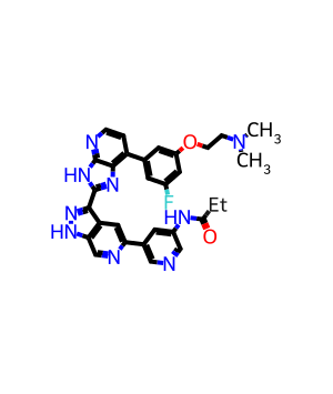 CCC(=O)Nc1cncc(-c2cc3c(-c4nc5c(-c6cc(F)cc(OCCN(C)C)c6)ccnc5[nH]4)n[nH]c3cn2)c1